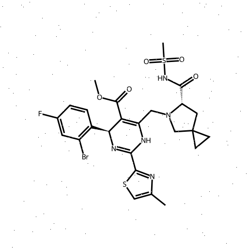 COC(=O)C1=C(CN2CC3(CC3)C[C@H]2C(=O)NS(C)(=O)=O)NC(c2nc(C)cs2)=N[C@H]1c1ccc(F)cc1Br